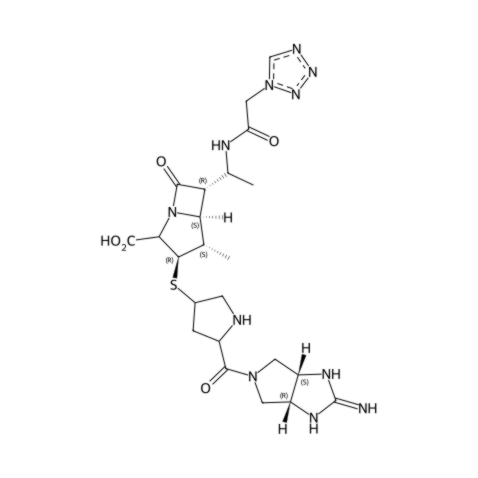 CC(NC(=O)Cn1cnnn1)[C@H]1C(=O)N2C(C(=O)O)[C@H](SC3CNC(C(=O)N4C[C@@H]5NC(=N)N[C@@H]5C4)C3)[C@@H](C)[C@H]12